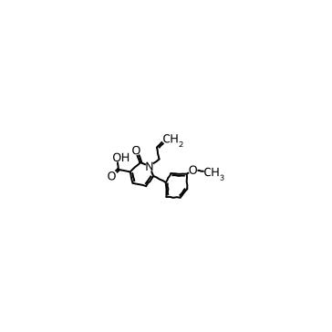 C=CCn1c(-c2cccc(OC)c2)ccc(C(=O)O)c1=O